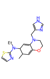 CCN(c1nccs1)C1C=C2C(=CC1C)OCCN2Cc1c[nH]cn1